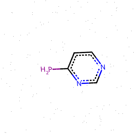 Pc1ccncn1